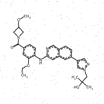 CCOc1cc(C(=O)N2CC(OC)C2)ccc1Nc1cc2cc(-c3cnn(CC(C)(C)O)c3)ccc2cn1